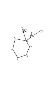 [C-]#[N+][C]1([Au][CH3])CCCCC1